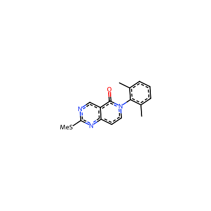 CSc1ncc2c(=O)n(-c3c(C)cccc3C)ccc2n1